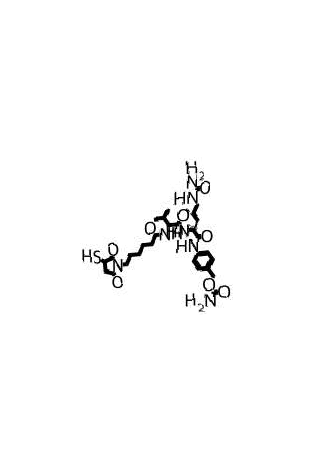 CC(C)C(NC(=O)CCCCCN1C(=O)CC(S)C1=O)C(=O)N[C@@H](CCCNC(N)=O)C(=O)Nc1ccc(COC(N)=O)cc1